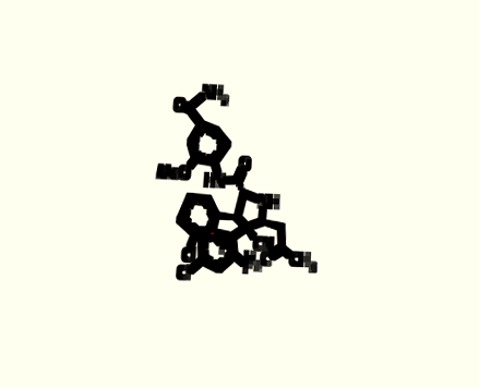 C=C(C)C[C@@H]1N[C@@H](C(=O)Nc2ccc(C(N)=O)cc2OC)[C@H](c2cccc(Cl)c2F)[C@@]1(C#N)c1ccc(Cl)cc1F